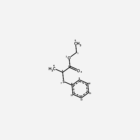 CCOC(=O)C(C)Sc1ccccc1